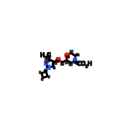 Cc1nn(C2CCC2)cc1OCC1CN(C(=O)O)CCO1